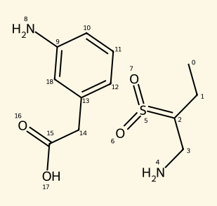 CCC(CN)=S(=O)=O.Nc1cccc(CC(=O)O)c1